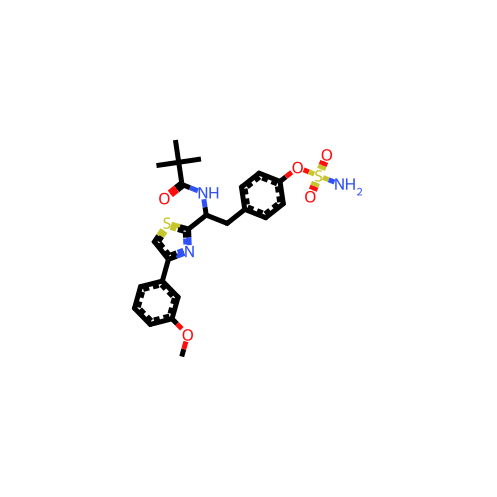 COc1cccc(-c2csc(C(Cc3ccc(OS(N)(=O)=O)cc3)NC(=O)C(C)(C)C)n2)c1